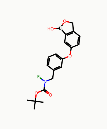 CC(C)(C)OC(=O)N(F)Cc1cccc(Oc2ccc3c(c2)B(O)OC3)c1